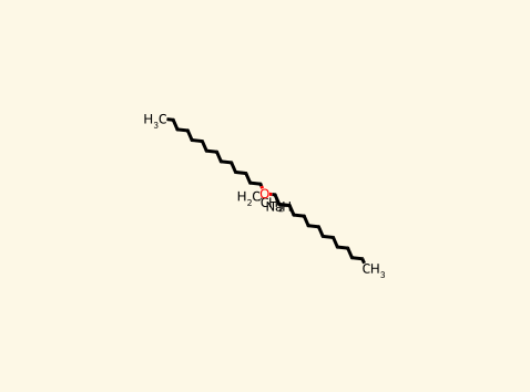 C=C.CCCCCCCCCCCCCCOCCCCCCCCCCCCCC.[NaH]